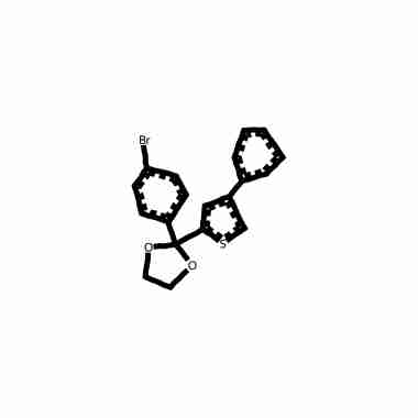 Brc1ccc(C2(c3cc(-c4ccccc4)cs3)OCCO2)cc1